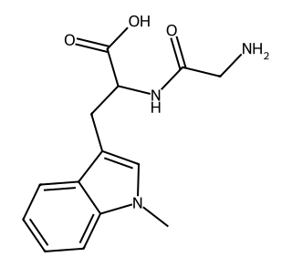 Cn1cc(CC(NC(=O)CN)C(=O)O)c2ccccc21